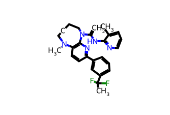 C=C(Nc1ncccc1C)N1CCCCN(C)c2ccc(-c3cccc(C(C)(F)F)c3)nc21